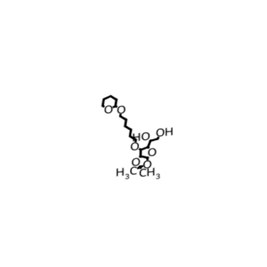 CC1(C)OC2OC(C(O)CO)C(OCCCCCCOC3CCCCO3)C2O1